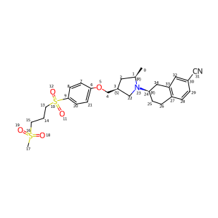 C[C@@H]1C[C@H](COc2ccc(S(=O)(=O)CCCS(C)(=O)=O)cc2)CN1[C@@H]1CCc2ccc(C#N)cc2C1